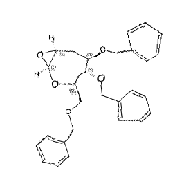 c1ccc(COC[C@H]2O[C@H]3O[C@H]3C[C@@H](OCc3ccccc3)[C@@H]2OCc2ccccc2)cc1